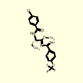 CC[C@H](NC(=O)c1ccc(Cl)cc1)/C(=N/C(=N)c1ccc(OC(F)(F)F)cc1)OC